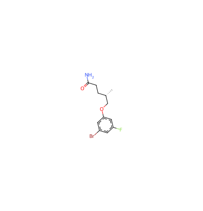 C[C@@H](CCC(N)=O)COc1cc(F)cc(Br)c1